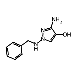 Nc1nn(NCc2ccccc2)cc1O